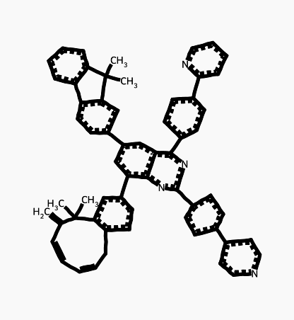 C=C1/C=C\C=C/Cc2ccc(-c3cc(-c4ccc5c(c4)C(C)(C)c4ccccc4-5)cc4c(-c5ccc(-c6ccccn6)cc5)nc(-c5ccc(-c6ccncc6)cc5)nc34)cc2C1(C)C